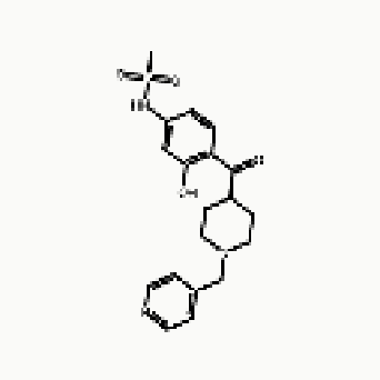 CS(=O)(=O)Nc1ccc(C(=O)C2CCN(Cc3ccncc3)CC2)c(O)c1